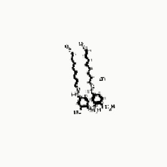 O=C=CCCCCCCCONc1ccc(C(=O)O)c(O)c1.O=C=CCCCCCCCONc1ccc(C(=O)O)c(O)c1.[Zn]